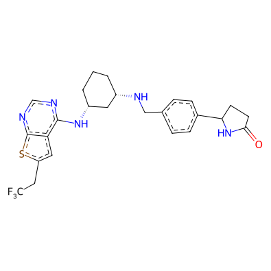 O=C1CCC(c2ccc(CN[C@H]3CCC[C@@H](Nc4ncnc5sc(CC(F)(F)F)cc45)C3)cc2)N1